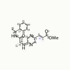 COC(=O)/C=C/c1cnc(N[C@H](C)C(=O)N[C@@H](C)c2ccccc2)cn1